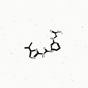 CC(C)c1cnc(NC(=O)Nc2cccc(NCC(N)=O)c2)s1